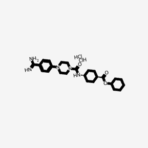 Cl.Cl.N=C(N)c1ccc(N2CCN(C(=O)N[C@H]3CC[C@H](C(=O)OC4CCCCC4)CC3)CC2)cc1